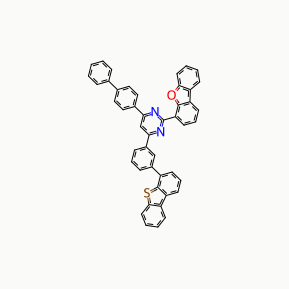 c1ccc(-c2ccc(-c3cc(-c4cccc(-c5cccc6c5sc5ccccc56)c4)nc(-c4cccc5c4oc4ccccc45)n3)cc2)cc1